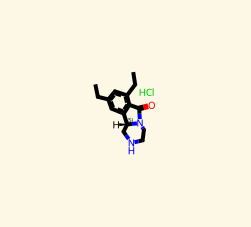 CCc1cc(CC)c2c(c1)[C@H]1CNCCN1C2=O.Cl